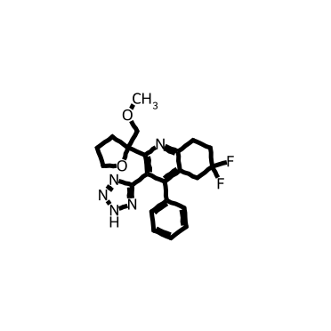 COCC1(c2nc3c(c(-c4ccccc4)c2-c2nn[nH]n2)CC(F)(F)CC3)CCCO1